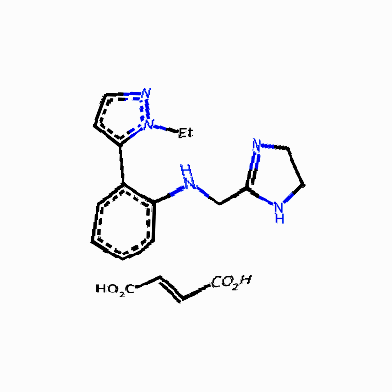 CCn1nccc1-c1ccccc1NCC1=NCCN1.O=C(O)C=CC(=O)O